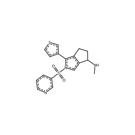 CNC1CCc2c1cn(S(=O)(=O)c1cccnc1)c2-c1ccsc1